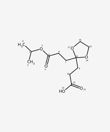 CC(C)OC(=O)CCC1(CCC(=O)O)OCCO1